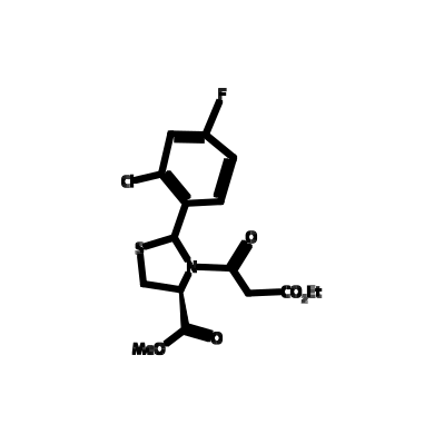 CCOC(=O)CC(=O)N1C(c2ccc(F)cc2Cl)SC[C@@H]1C(=O)OC